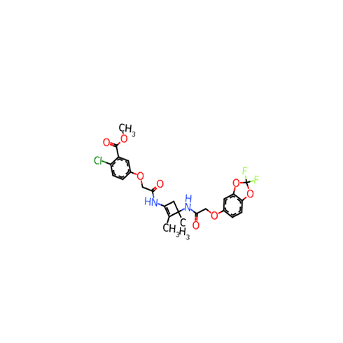 COC(=O)c1cc(OCC(=O)NC2=C(C)C(C)(NC(=O)COc3ccc4c(c3)OC(F)(F)O4)C2)ccc1Cl